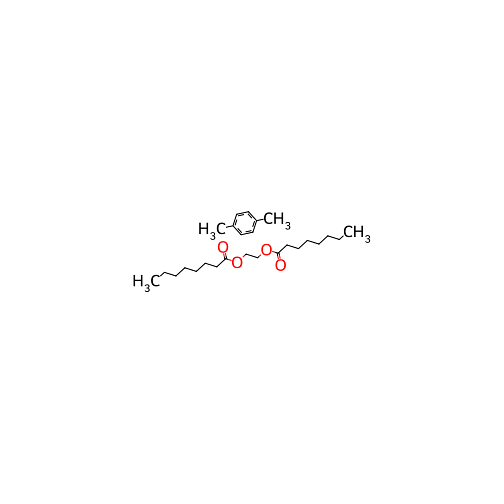 CCCCCCCC(=O)OCCOC(=O)CCCCCCC.Cc1ccc(C)cc1